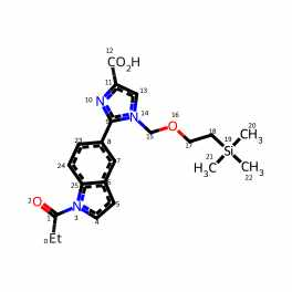 CCC(=O)n1ccc2cc(-c3nc(C(=O)O)cn3COCC[Si](C)(C)C)ccc21